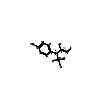 C/C=C(\C)N(c1ccc(F)cc1)C(C)(C)C